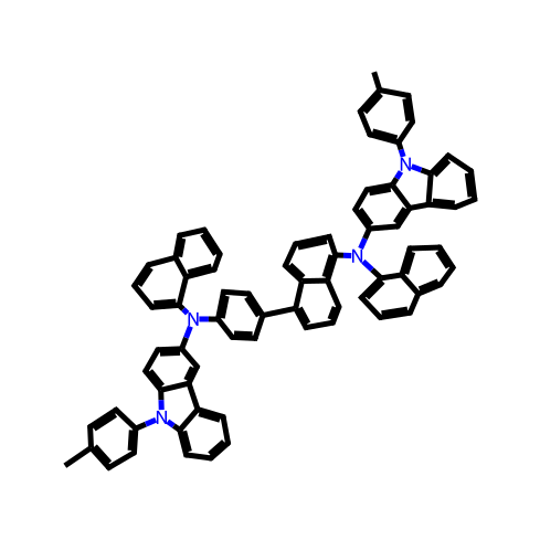 Cc1ccc(-n2c3ccccc3c3cc(N(c4ccc(-c5cccc6c(N(c7ccc8c(c7)c7ccccc7n8-c7ccc(C)cc7)c7cccc8ccccc78)cccc56)cc4)c4cccc5ccccc45)ccc32)cc1